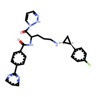 O=C(NC(CCCN[C@@H]1C[C@H]1c1ccc(F)cc1)C(=O)N1C=CC=NN1)c1ccc(-c2ncccn2)cc1